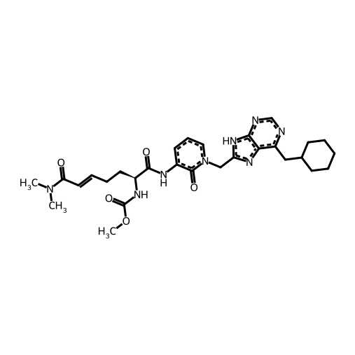 COC(=O)N[C@@H](CC/C=C/C(=O)N(C)C)C(=O)Nc1cccn(Cc2nc3c(CC4CCCCC4)ncnc3[nH]2)c1=O